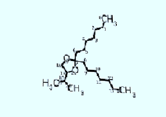 CCCCCCCC1(CCCCCCC)OCC(C(C)C)O1